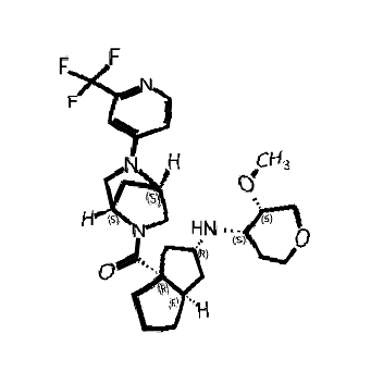 CO[C@@H]1COCC[C@@H]1N[C@@H]1C[C@H]2CCC[C@@]2(C(=O)N2C[C@@H]3C[C@H]2CN3c2ccnc(C(F)(F)F)c2)C1